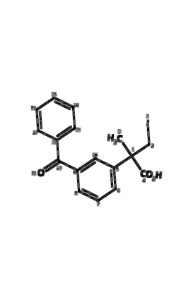 CC(CI)(C(=O)O)c1cccc(C(=O)c2ccccc2)c1